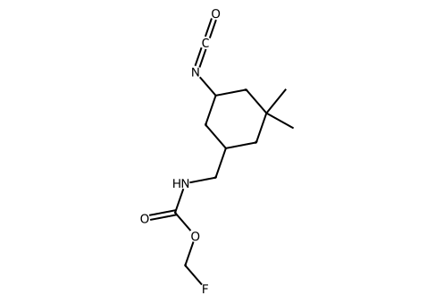 CC1(C)CC(CNC(=O)OCF)CC(N=C=O)C1